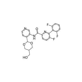 O=C(Nc1cnccc1C1OCC(CO)CO1)c1ccc(F)c(-c2c(F)cccc2F)n1